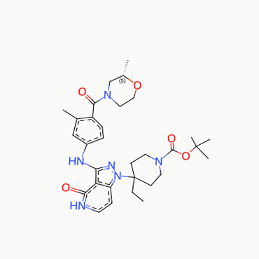 CCC1(n2nc(Nc3ccc(C(=O)N4CCO[C@@H](C)C4)c(C)c3)c3c(=O)[nH]ccc32)CCN(C(=O)OC(C)(C)C)CC1